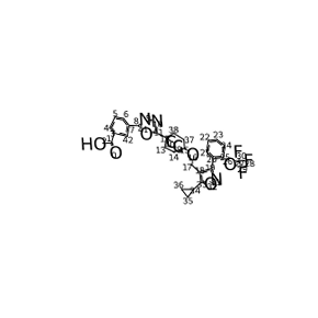 O=C(O)c1cccc(-c2nnc(C34CCC(OCc5c(-c6ccccc6OC(F)(F)F)noc5C5CC5)(CC3)CC4)o2)c1